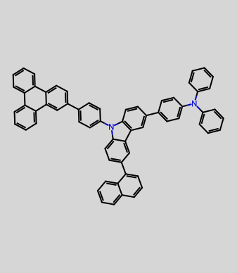 c1ccc(N(c2ccccc2)c2ccc(-c3ccc4c(c3)c3cc(-c5cccc6ccccc56)ccc3n4-c3ccc(-c4ccc5c6ccccc6c6ccccc6c5c4)cc3)cc2)cc1